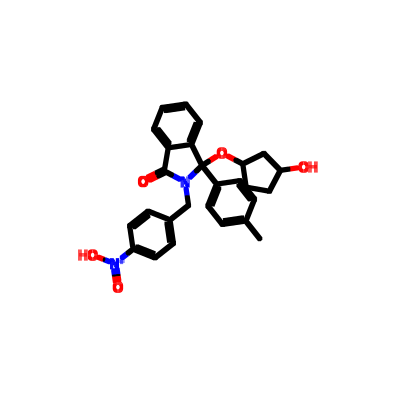 Cc1ccc(C2(OC3CCC(O)C3)c3ccccc3C(=O)N2Cc2ccc([N+](=O)O)cc2)cc1